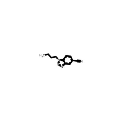 CCCCn1nnc2cc(C#N)ccc21